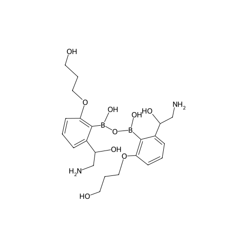 NCC(O)c1cccc(OCCCO)c1B(O)OB(O)c1c(OCCCO)cccc1C(O)CN